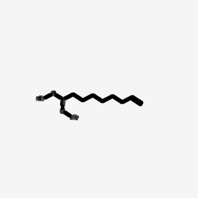 C=CCCCCCC[SiH](OCCC)OCCC